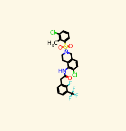 Cc1c(Cl)cccc1S(=O)(=O)N1CCc2c(ccc(Cl)c2NC(=O)Cc2cccc(C(F)(F)F)c2F)C1